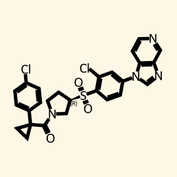 O=C(N1CC[C@@H](S(=O)(=O)c2ccc(-n3cnc4cnccc43)cc2Cl)C1)C1(c2ccc(Cl)cc2)CC1